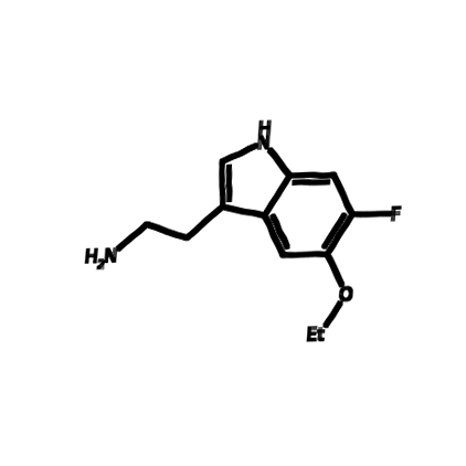 CCOc1cc2c(CCN)c[nH]c2cc1F